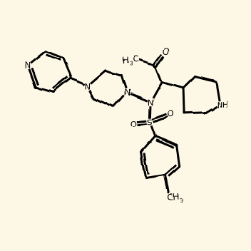 CC(=O)C(C1CCNCC1)N(N1CCN(c2ccncc2)CC1)S(=O)(=O)c1ccc(C)cc1